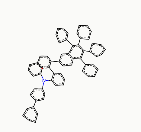 c1ccc(-c2ccc(N(c3ccccc3)c3ccccc3-c3ccccc3-c3ccc4c(-c5ccccc5)c(-c5ccccc5)c(-c5ccccc5)c(-c5ccccc5)c4c3)cc2)cc1